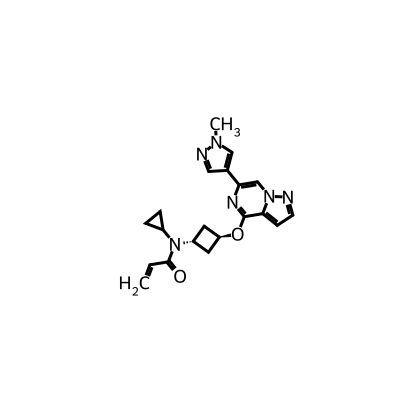 C=CC(=O)N(C1CC1)[C@H]1C[C@H](Oc2nc(-c3cnn(C)c3)cn3nccc23)C1